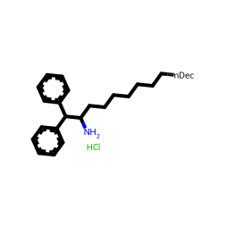 CCCCCCCCCCCCCCCCCC(N)C(c1ccccc1)c1ccccc1.Cl